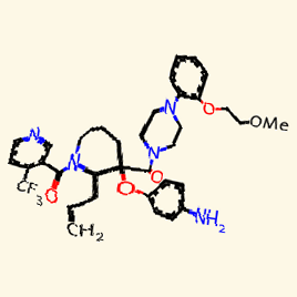 C=CCC1N(C(=O)c2cnccc2C(F)(F)F)CCCC1(Oc1ccc(N)cc1)C(=O)N1CCN(c2ccccc2OCCOC)CC1